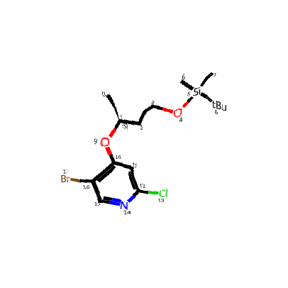 C[C@@H](CCO[Si](C)(C)C(C)(C)C)Oc1cc(Cl)ncc1Br